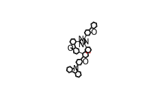 c1ccc(-c2nc(-c3ccc4c(c3)oc3ccccc34)nc(-c3cccc4oc5ccc(-c6cccc7oc8cc(-n9c%10ccccc%10c%10ccccc%109)ccc8c67)cc5c34)n2)cc1